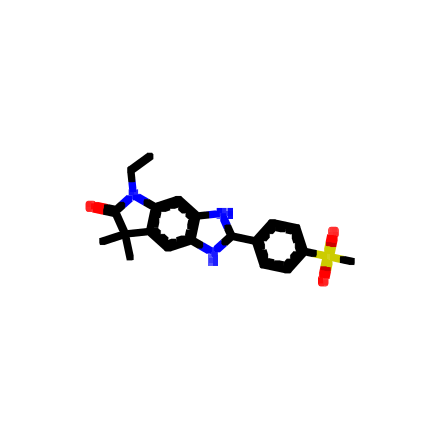 CCN1C(=O)C(C)(C)c2cc3c(cc21)NC(c1ccc(S(C)(=O)=O)cc1)N3